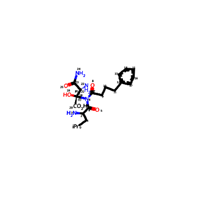 CC(C)CC(N)C(=O)N(C(=O)CCCc1ccccc1)[C@@](O)(C(=O)O)[C@@H](N)C(N)=O